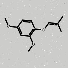 COc1ccc(OC=C(C)C)c(OC)c1